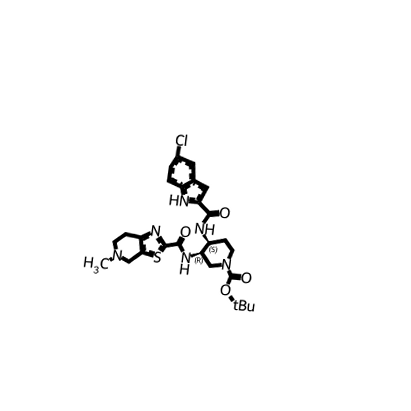 CN1CCc2nc(C(=O)N[C@@H]3CN(C(=O)OC(C)(C)C)CC[C@@H]3NC(=O)c3cc4cc(Cl)ccc4[nH]3)sc2C1